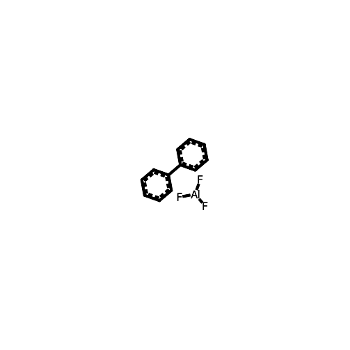 [F][Al]([F])[F].c1ccc(-c2ccccc2)cc1